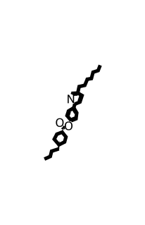 CCCCCCCc1ccc(-c2ccc(OC(=O)[C@H]3CC[C@H](CCCC)CC3)cc2)nc1